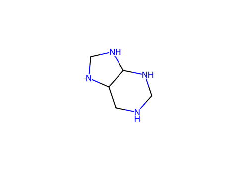 C1[N]C2CNCNC2N1